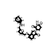 O=C1CCC(N2Cc3c(SCc4ccc(CNC56CC7CC(CC5C7)C6)o4)cccc3C2=O)C(=O)N1